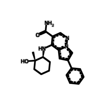 C[C@]1(O)CCCC[C@@H]1Nc1c(C(N)=O)cnn2cc(-c3ccccc3)cc12